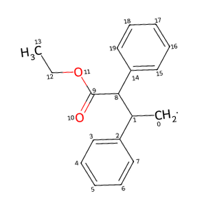 [CH2]C(c1ccccc1)C(C(=O)OCC)c1ccccc1